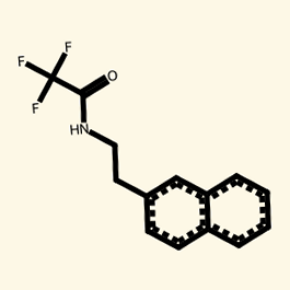 O=C(NCCc1ccc2ccccc2c1)C(F)(F)F